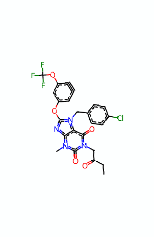 CCC(=O)Cn1c(=O)c2c(nc(Oc3cc#cc(OC(F)(F)F)c3)n2Cc2ccc(Cl)cc2)n(C)c1=O